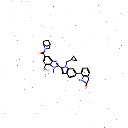 COc1cc(C(=O)N2CC3CCC2C3)cc2nc(-c3cc4ccc(-c5cccc6c5NC(=O)C6)cc4n3CC3CC3)n(C)c12